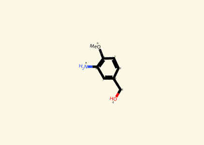 COc1ccc(CO)cc1N